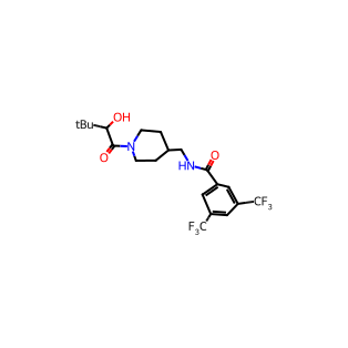 CC(C)(C)C(O)C(=O)N1CCC(CNC(=O)c2cc(C(F)(F)F)cc(C(F)(F)F)c2)CC1